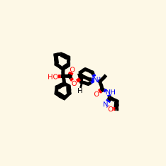 CC(C(=O)Nc1ccon1)[N+]12CCC(CC1)[C@@H](OC(=O)C(O)(c1ccccc1)c1ccccc1)C2